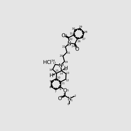 CN(C)C(=O)Oc1cccc2c1CC[C@@H]1[C@H]2CCN1CCCCN1C(=O)c2ccccc2C1=O.Cl